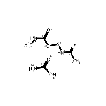 CNC(=O)OSNC(C)=O.NC(=O)O